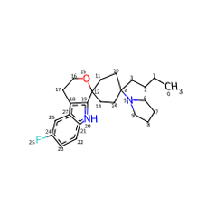 CCCCC1(N2CCCC2)CCC2(CC1)OCCc1c2[nH]c2ccc(F)cc12